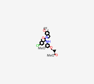 COC(=O)[C@H]1C[C@@H]1COc1cc(NC(C(=O)N2CCc3ccc(OC(F)(F)F)cc32)c2ccc(Cl)cc2C)cc(OC)c1